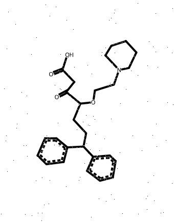 O=C(O)CC(=O)C(CCC(c1ccccc1)c1ccccc1)OCCN1CCCCC1